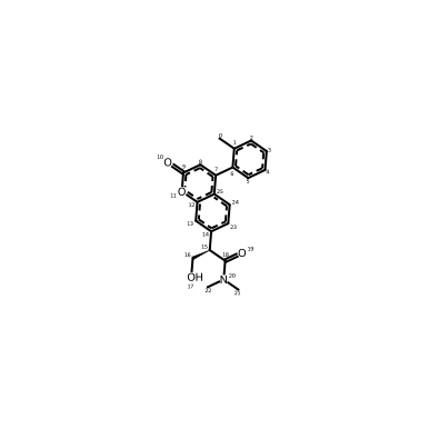 Cc1ccccc1-c1cc(=O)oc2cc([C@H](CO)C(=O)N(C)C)ccc12